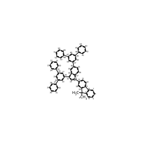 CC1(C)c2ccccc2-c2ccc(-n3cc(-c4cc(-c5ccccc5)cc(-c5ccccc5)c4)c4cc(-c5cc(-c6ccccc6)cc(-c6ccccc6)c5)ccc43)cc21